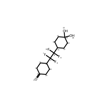 O=C1CCC(C(F)(F)C(F)(F)C2CCC(O)(O)CC2)CC1